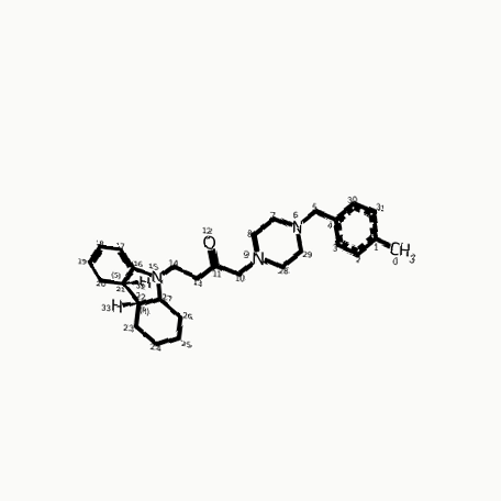 Cc1ccc(CN2CCN(CC(=O)CCN3C4=CC=CC[C@H]4[C@H]4CCCCC43)CC2)cc1